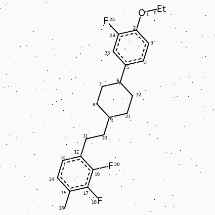 CCOc1ccc(C2CCC(CCc3ccc(C)c(F)c3F)CC2)cc1F